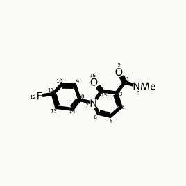 CNC(=O)c1cccn(-c2ccc(F)cc2)c1=O